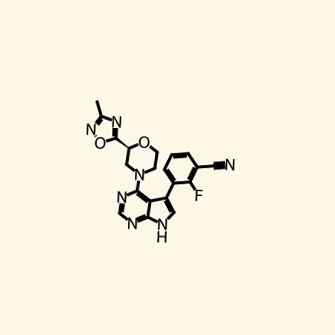 Cc1noc([C@@H]2CN(c3ncnc4[nH]cc(-c5cccc(C#N)c5F)c34)CCO2)n1